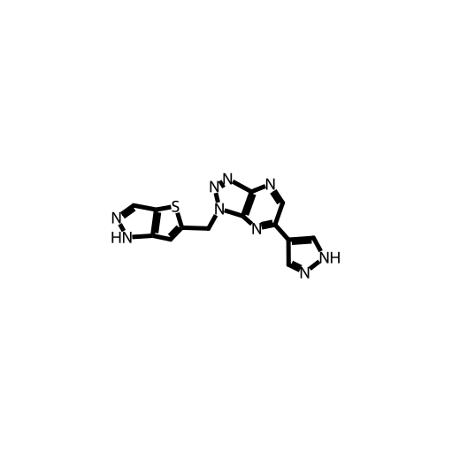 c1n[nH]cc1-c1cnc2nnn(Cc3cc4[nH]ncc4s3)c2n1